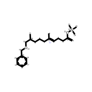 C=C(CC/C=C(\C)CCCC(C)COCc1ccccc1)O[Si](C)(C)C